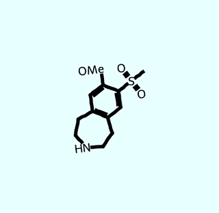 COc1cc2c(cc1S(C)(=O)=O)CCNCC2